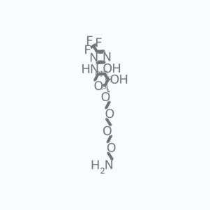 NCCOCCOCCOCCOC[C@@H]1OC[C@@H](Nc2cncc(C(F)(F)F)n2)[C@H](O)[C@@H]1O